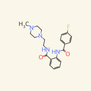 CN1CCN(CCNC(=O)c2ccccc2NC(=O)c2ccc(F)cc2)CC1